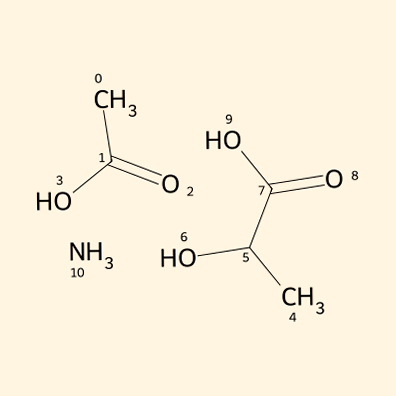 CC(=O)O.CC(O)C(=O)O.N